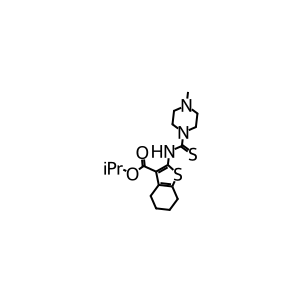 CC(C)OC(=O)c1c(NC(=S)N2CCN(C)CC2)sc2c1CCCC2